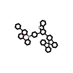 c1ccc(-c2ccc(N(c3ccc(-c4cc(-c5ccc6c(c5)C5(c7ccccc7-c7ccccc75)c5ccccc5-6)cc5c4sc4ccccc45)cc3)c3ccccc3-c3ccccc3)cc2)cc1